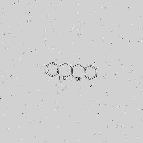 OC(O)=C(Cc1ccccc1)Cc1ccccc1